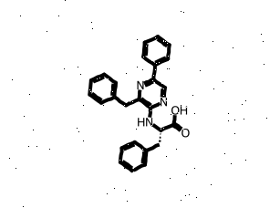 O=C(O)[C@H](Cc1ccccc1)Nc1ncc(-c2ccccc2)nc1Cc1ccccc1